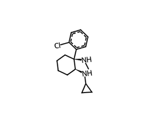 CN[C@]1(c2ccccc2Cl)CCCC[C@@H]1NC1CC1